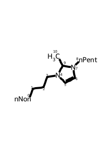 CCCCCCCCCCCCN1C=CN(CCCCC)C1C